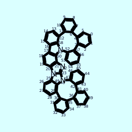 c1ccc2c(c1)c1ccccc1c1cccc3c4ccc5c(nc6n5c5cccc7c8ccccc8c8ccccc8c8ccccc8n6c75)c4n(c4ccccc24)c13